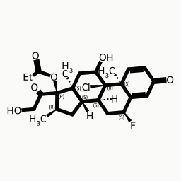 CCC(=O)O[C@]1(C(=O)CO)[C@H](C)C[C@H]2[C@@H]3C[C@H](F)C4=CC(=O)C=C[C@]4(C)[C@@]3(Cl)C(O)C[C@@]21C